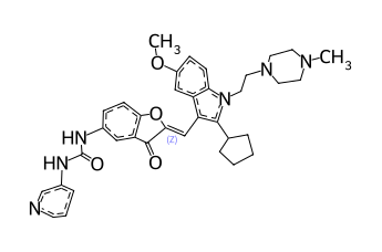 COc1ccc2c(c1)c(/C=C1\Oc3ccc(NC(=O)Nc4cccnc4)cc3C1=O)c(C1CCCC1)n2CCN1CCN(C)CC1